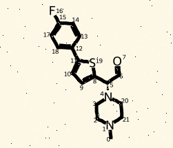 CN1CCN([C@@H](C=O)c2ccc(-c3ccc(F)cc3)s2)CC1